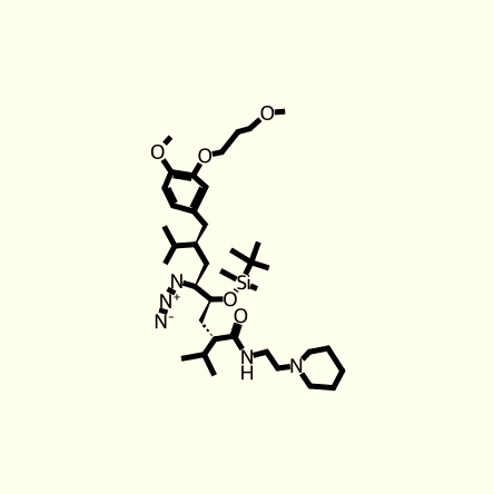 COCCCOc1cc(C[C@@H](C[C@H](N=[N+]=[N-])[C@H](C[C@H](C(=O)NCCN2CCCCC2)C(C)C)O[Si](C)(C)C(C)(C)C)C(C)C)ccc1OC